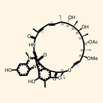 CO[C@H]1/C=C/O[C@@]2(C)Oc3c(C)c(O)c4c(=O)c(c5n(C)c6cc(O)ccc6nc-5c4c3C2=O)NC(=O)/C(C)=C\C=C\[C@H](C)[C@H](O)[C@@H](C)[C@@H](O)[C@@H](C)[C@H](OC(C)=O)[C@@H]1C